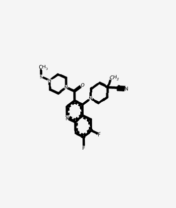 CSN1CCN(C(=O)c2cnc3cc(F)c(F)cc3c2N2CCC(C)(C#N)CC2)CC1